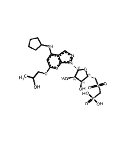 CC(O)COc1cc(NC2CCCC2)c2cnn([C@@H]3O[C@H](CS(=O)(=O)CP(=O)(O)O)[C@@H](O)[C@H]3O)c2n1